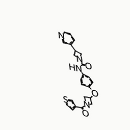 O=C(Nc1ccc(OC2CN(C(=O)c3ccsc3)C2)cc1)N1CC(c2cccnc2)C1